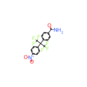 NC(=O)c1ccc(C(c2ccc([N+](=O)[O-])cc2)(C(F)(F)F)C(F)(F)F)cc1